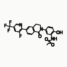 CS(=O)(=O)Nc1cc(N2CCc3cc(-c4ncc(C(F)(F)F)cc4F)ccc3C2=O)ccc1O